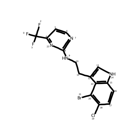 FC(F)(F)c1ccnc(NCCc2c[nH]c3ccc(Cl)c(Br)c23)n1